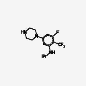 CC(C)Nc1cc(N2CCNCC2)cc(F)c1C(F)(F)F